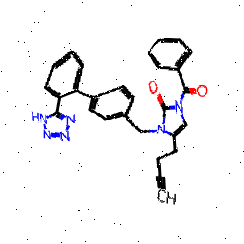 C#CCCc1cn(C(=O)c2ccccc2)c(=O)n1Cc1ccc(-c2ccccc2-c2nnn[nH]2)cc1